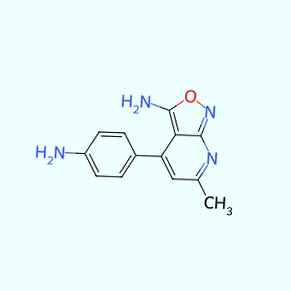 Cc1cc(-c2ccc(N)cc2)c2c(N)onc2n1